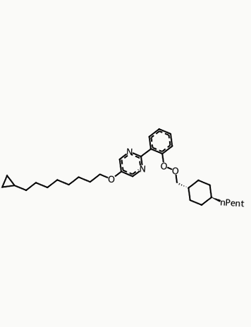 CCCCC[C@H]1CC[C@H](COOc2ccccc2-c2ncc(OCCCCCCCCC3CC3)cn2)CC1